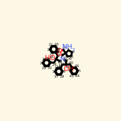 C[C@@H](N(C(=O)C1(C(N)=O)CCCC1)[C@H](C)C(O)(Cc1ccccc1)Cc1ccccc1)C(O)(Cc1ccccc1)Cc1ccccc1